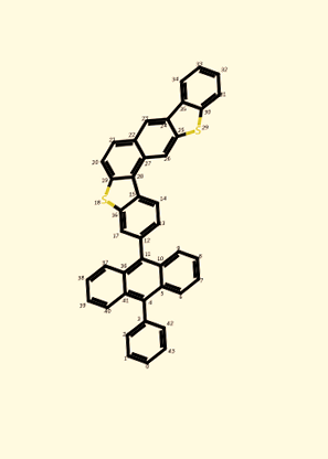 c1ccc(-c2c3ccccc3c(-c3ccc4c(c3)sc3ccc5cc6c(cc5c34)sc3ccccc36)c3ccccc23)cc1